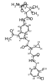 CC(=O)c1cn(CC(=O)N(CC(=O)NCc2cccc(Cl)c2F)C2CC2)c2ccc(NC(=O)C(OC(N)=O)C(C)(C)C)cc12